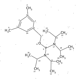 Cc1cc(C)cc(COP(N(C(C)C)C(C)C)N(C(C)C)C(C)C)c1